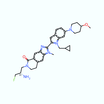 COC1CCN(c2ccc3cc(-c4nc5cc6c(cc5n4C)CCN(C[C@H](N)CF)C6=O)n(CC4CC4)c3c2)CC1